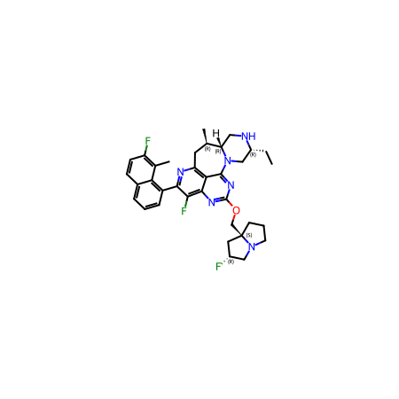 CC[C@@H]1CN2c3nc(OC[C@@]45CCCN4C[C@H](F)C5)nc4c(F)c(-c5cccc6ccc(F)c(C)c56)nc(c34)C[C@@H](C)[C@@H]2CN1